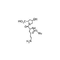 CC(C)(C)OC(=O)N[C@@H](CCCCN)C(=O)N1CC(O)CC1C(=O)O